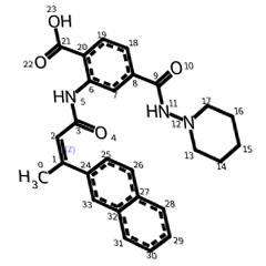 C/C(=C/C(=O)Nc1cc(C(=O)NN2CCCCC2)ccc1C(=O)O)c1ccc2ccccc2c1